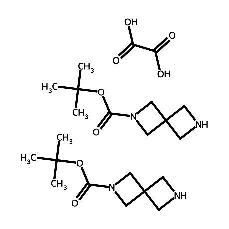 CC(C)(C)OC(=O)N1CC2(CNC2)C1.CC(C)(C)OC(=O)N1CC2(CNC2)C1.O=C(O)C(=O)O